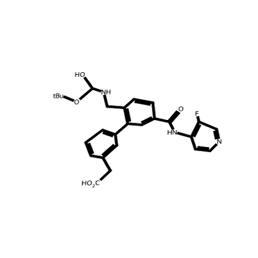 CC(C)(C)OC(O)NCc1ccc(C(=O)Nc2ccncc2F)cc1-c1cccc(CC(=O)O)c1